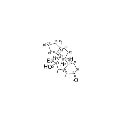 CCC1(O)CC2=CC(=O)CC[C@@H]2[C@H]2CC[C@]3(C)CC(C)C=C3[C@@H]21